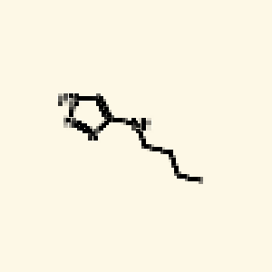 CCCCNc1c[nH]nn1